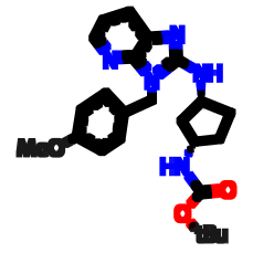 COc1ccc(Cn2c(N[C@H]3CC[C@H](NC(=O)OC(C)(C)C)C3)nc3cccnc32)cc1